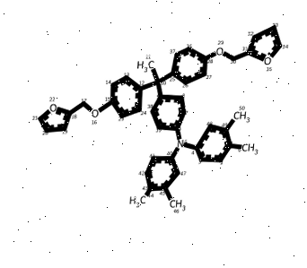 Cc1ccc(N(c2ccc(C(C)(c3ccc(OCc4ccco4)cc3)c3ccc(OCc4ccco4)cc3)cc2)c2ccc(C)c(C)c2)cc1C